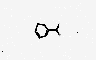 FC(F)C1=CC=CCC1